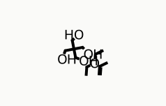 C=CC.CCOCC.OCC(CO)(CO)CO